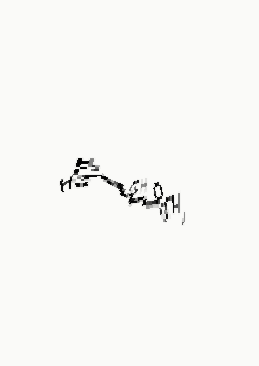 COC(=O)CCC[C@H](O)/C=C/C=C/[C@@H](C)O